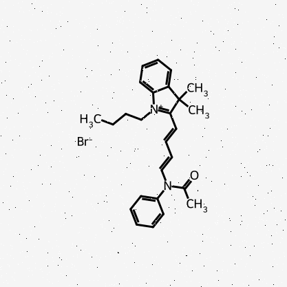 CCCC[N+]1=C(/C=C/C=C/N(C(C)=O)c2ccccc2)C(C)(C)c2ccccc21.[Br-]